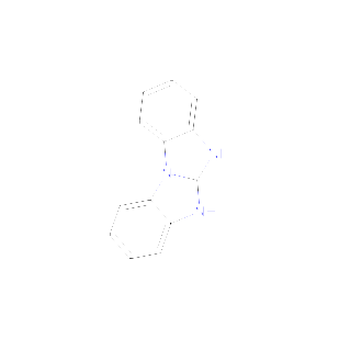 c1ccc2c(c1)NC1Nc3ccccc3N21